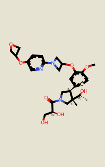 COc1ccc([C@@H]2CN(C(=O)[C@@H](O)CO)C[C@@]2(C)[C@@H](C)O)cc1OC1CN(c2ccc(OC3COC3)cn2)C1